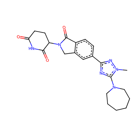 Cn1nc(-c2ccc3c(c2)CN(C2CCC(=O)NC2=O)C3=O)nc1N1CCCCCC1